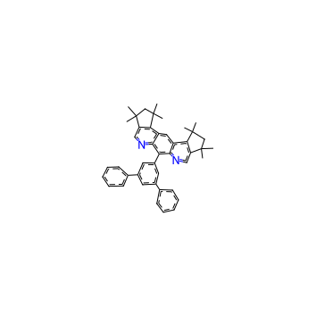 CC1(C)CC(C)(C)c2c1cnc1c(-c3cc(-c4ccccc4)cc(-c4ccccc4)c3)c3ncc4c(c3cc21)C(C)(C)CC4(C)C